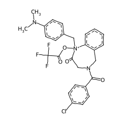 CN(C)c1ccc(C[N+]2(OC(=O)C(F)(F)F)C(=O)CN(C(=O)c3ccc(Cl)cc3)Cc3ccccc32)cc1